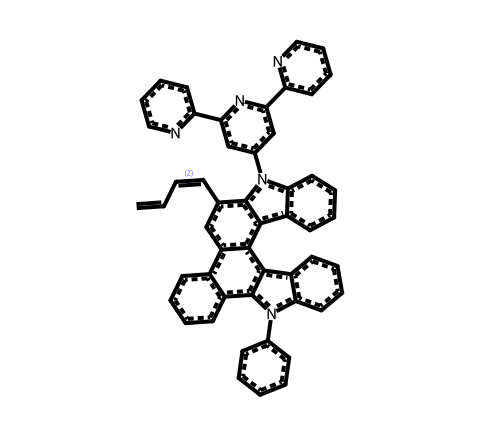 C=C/C=C\c1cc2c3ccccc3c3c(c4ccccc4n3-c3ccccc3)c2c2c3ccccc3n(-c3cc(-c4ccccn4)nc(-c4ccccn4)c3)c12